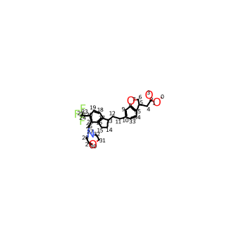 COC(=O)CC1COc2cc(CCC3CCc4c3ccc(C(F)(F)F)c4CN3CCOCC3)ccc21